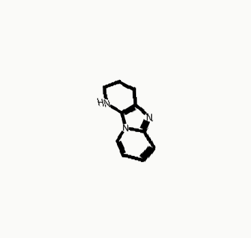 c1ccn2c3c(nc2c1)CCCN3